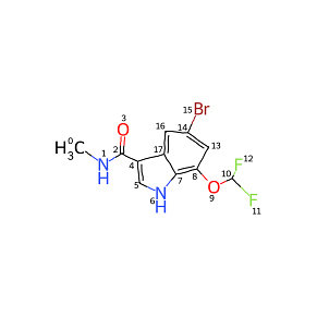 CNC(=O)c1c[nH]c2c(OC(F)F)cc(Br)cc12